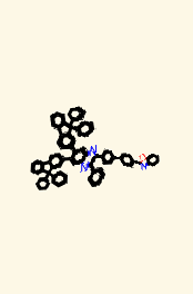 c1ccc(-c2nc3cc(-c4ccc5c(c4)C(c4ccccc4)(c4ccccc4)c4ccccc4-5)c(-c4ccc5c(c4)C(c4ccccc4)(c4ccccc4)c4ccccc4-5)cc3nc2-c2ccc(-c3ccc(-c4nc5ccccc5o4)cc3)cc2)cc1